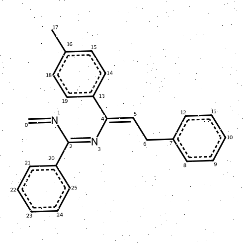 C=N/C(=N\C(=C/Cc1ccccc1)c1ccc(C)cc1)c1ccccc1